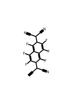 C#CC(C#N)C1C(F)=C(F)C2=C(F)C(C(C#N)C#N)C(F)=C(F)C2=C1F